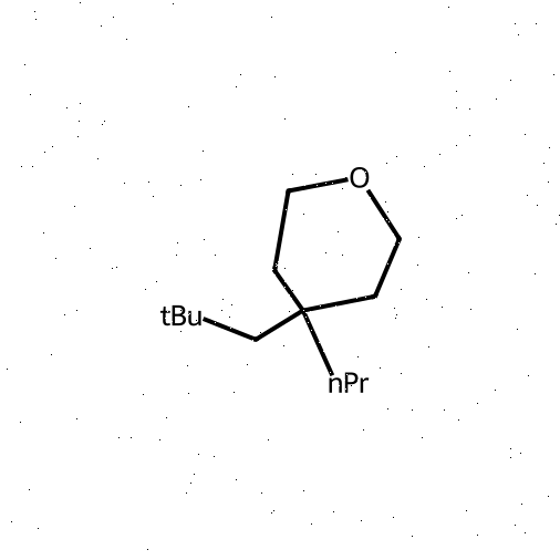 CCCC1(CC(C)(C)C)CCOCC1